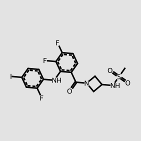 CS(=O)(=O)NC1CN(C(=O)c2ccc(F)c(F)c2Nc2ccc(I)cc2F)C1